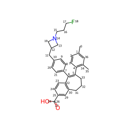 Cc1ccc(C2=C(c3ccc(CC4CN(CCCF)C4)cc3)c3ccc(C(=O)O)cc3CCC2)c(C)c1